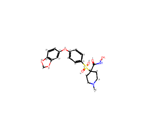 CC(=O)N1CCC(C(=O)NO)(S(=O)(=O)c2ccc(Oc3ccc4c(c3)OCO4)cc2)CC1